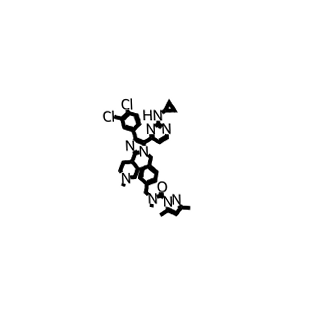 Cc1cc(C)n(C(=O)N(C)Cc2ccc(Cn3c(C4CCN(C)CC4)nc(-c4ccc(Cl)c(Cl)c4)c3-c3ccnc(NC4CC4)n3)cc2)n1